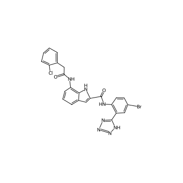 O=C(Cc1ccccc1Cl)Nc1cccc2cc(C(=O)Nc3ccc(Br)cc3-c3nnn[nH]3)[nH]c12